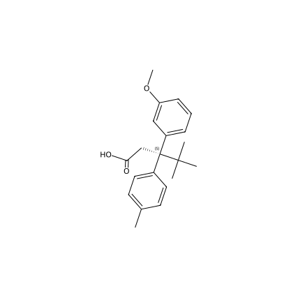 COc1cccc([C@](CC(=O)O)(c2ccc(C)cc2)C(C)(C)C)c1